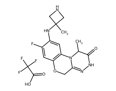 CC1C(=O)NN=C2COc3cc(F)c(NC4(C)CNC4)cc3N21.O=C(O)C(F)(F)F